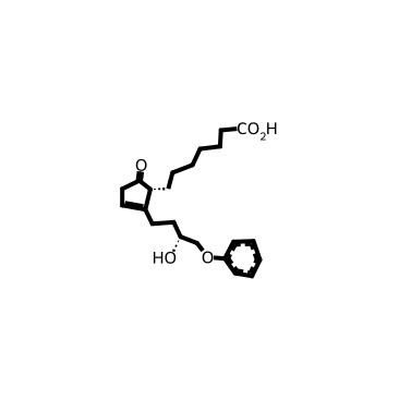 O=C(O)CCCCCC[C@H]1C(=O)CC=C1CC[C@@H](O)COc1ccccc1